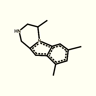 Cc1cc(C)c2cc3n(c2c1)C(C)CNC3